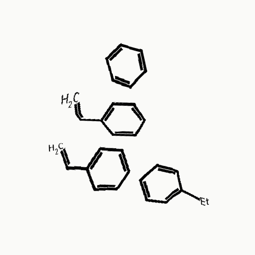 C=Cc1ccccc1.C=Cc1ccccc1.CCc1ccccc1.c1ccccc1